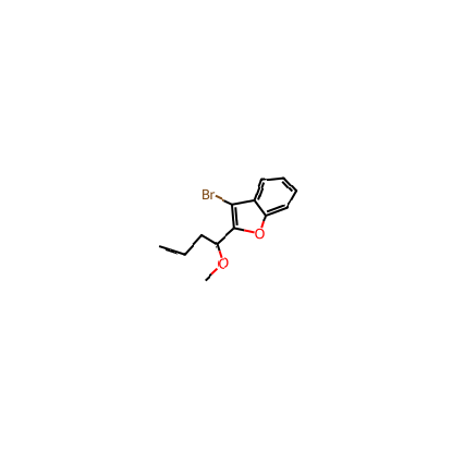 CCCC(OC)c1oc2ccccc2c1Br